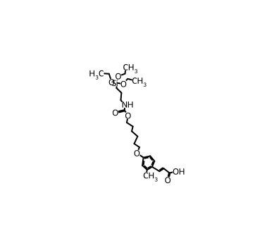 CCO[Si](CCCNC(=O)OCCCCCCOc1ccc(/C=C/C(=O)O)c(C)c1)(OCC)OCC